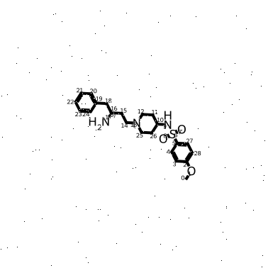 COc1ccc(S(=O)(=O)NC2CCN(CC[C@@H](N)Cc3ccccc3)CC2)cc1